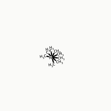 [CH3][Ni]([CH3])([CH3])([CH3])([CH3])([CH3])([CH3])[CH3]